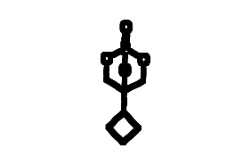 O=P12OCC(C3CCC3)(CO1)CO2